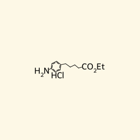 CCOC(=O)CCCCc1ccc(N)cc1.Cl